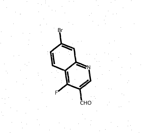 O=Cc1cnc2cc(Br)ccc2c1F